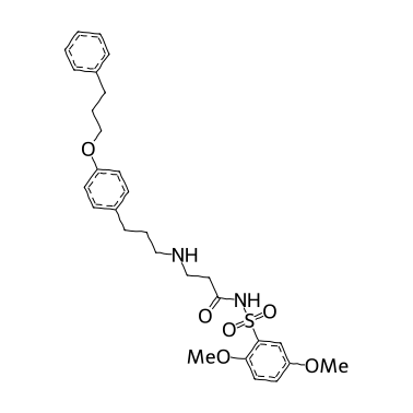 COc1ccc(OC)c(S(=O)(=O)NC(=O)CCNCCCc2ccc(OCCCc3ccccc3)cc2)c1